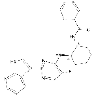 O=C(N[C@@H]1CCCC[C@H]1Nc1nc(-c2c[nH]c3ncccc23)ncc1F)c1ccccc1